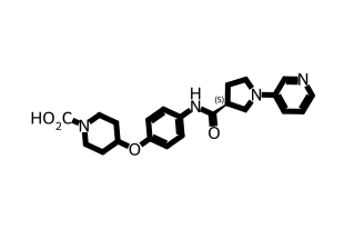 O=C(Nc1ccc(OC2CCN(C(=O)O)CC2)cc1)[C@H]1CCN(c2cccnc2)C1